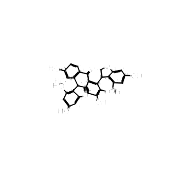 O=C(c1ccc(O)c(O)c1C1COc2cc(O)cc(O)c21)c1ccc(O)c(O)c1C1COc2cc(O)cc(O)c21